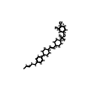 C/C=C/CCc1ccc(C2CCC(/C=C/C3CCC(C(F)(F)Oc4ccc(C(F)(F)F)c(F)c4)CC3)CC2)cc1